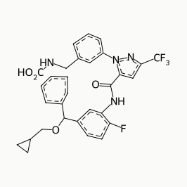 O=C(O)NCc1cccc(-n2nc(C(F)(F)F)cc2C(=O)Nc2cc(C(OCC3CC3)c3ccccc3)ccc2F)c1